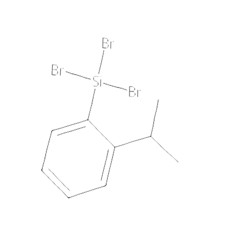 CC(C)c1ccccc1[Si](Br)(Br)Br